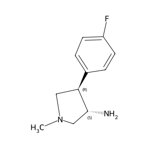 CN1C[C@@H](N)[C@H](c2ccc(F)cc2)C1